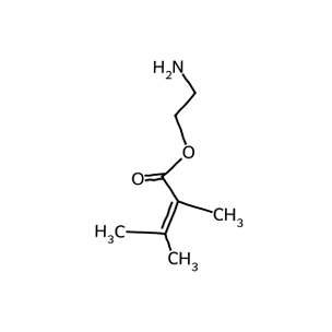 CC(C)=C(C)C(=O)OCCN